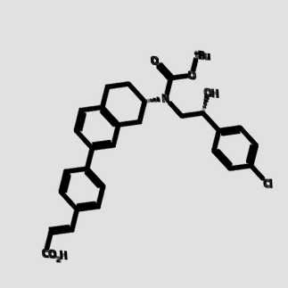 CC(C)(C)OC(=O)N(C[C@H](O)c1ccc(Cl)cc1)[C@H]1CCc2ccc(-c3ccc(/C=C/C(=O)O)cc3)cc2C1